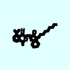 CCCCCCCCCN1C(=O)N(CC(=O)Nc2c(C(C)C)cccc2C(C)C)CC12CCCCC2